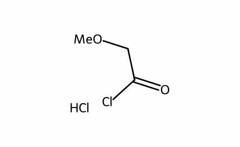 COCC(=O)Cl.Cl